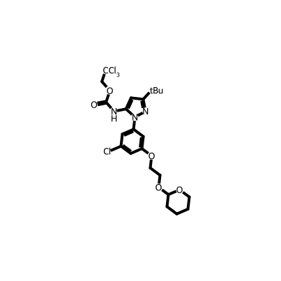 CC(C)(C)c1cc(NC(=O)OCC(Cl)(Cl)Cl)n(-c2cc(Cl)cc(OCCOC3CCCCO3)c2)n1